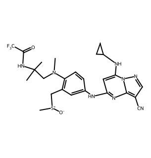 CN(CC(C)(C)NC(=O)C(F)(F)F)c1ccc(Nc2cc(NC3CC3)n3ncc(C#N)c3n2)cc1C[S+](C)[O-]